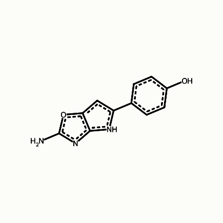 Nc1nc2[nH]c(-c3ccc(O)cc3)cc2o1